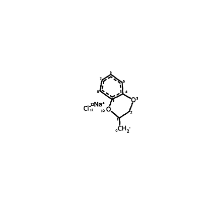 [CH2]C1COc2ccccc2O1.[Cl-].[Na+]